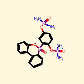 NP(N)(=O)Oc1ccc(OP(N)(N)=O)c(P2(=O)Oc3ccccc3-c3ccccc32)c1